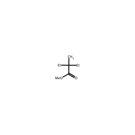 CCC(C)(CC)C(=O)OC